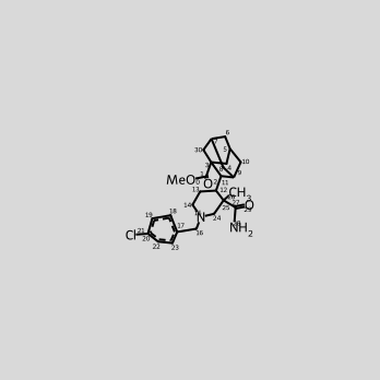 COC(=O)C12CC3CC(CC(C3)C1C1CCN(Cc3ccc(Cl)cc3)CC1(C)C(N)=O)C2